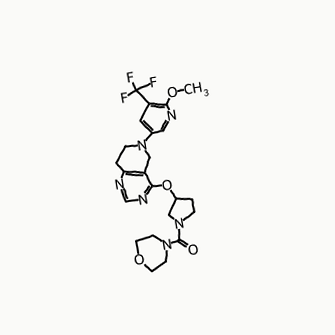 COc1ncc(N2CCc3ncnc(OC4CCN(C(=O)N5CCOCC5)C4)c3C2)cc1C(F)(F)F